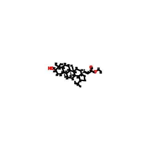 C=C(C)[C@@H]1CC[C@]2(/C=C/C(=O)OCC)CC[C@]3(C)C(CCC4[C@@]5(C)CC[C@@H](O)C(C)(C)C5CC[C@]43C)C12